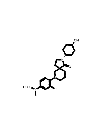 CN(C(=O)O)c1ccc(N2CCCC3(CCN([C@H]4CC[C@H](O)CC4)C3=O)C2)c(Cl)c1